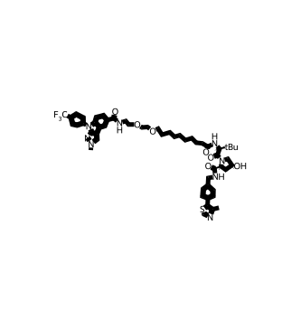 Cc1ncsc1-c1ccc(CNC(=O)[C@@H]2C[C@@H](O)CN2C(=O)[C@@H](NC(=O)CCCCCCCCCOCCOCCNC(=O)c2ccc3c(c2)c2cn(C)nc2n3-c2ccc(C(F)(F)F)cc2)C(C)(C)C)cc1